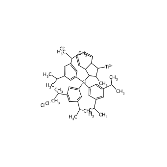 CC(C)c1cc(C(C)C)cc([Si](c2cc(C(C)C)cc(C(C)C)c2)(c2cc(C(C)C)cc(C(C)C)c2)C2C(C)[CH]([Ti+3])C3C=CC=CC32)c1.[Cl-].[Cl-].[Cl-]